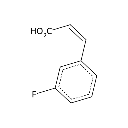 O=C(O)/C=C\c1cccc(F)c1